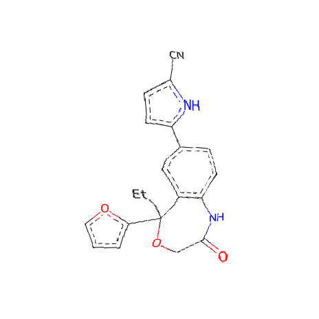 CCC1(c2ccco2)OCC(=O)Nc2ccc(-c3ccc(C#N)[nH]3)cc21